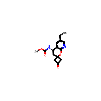 CC(C)(C)Cc1cnc2c(c1)[C@@H](NC(=O)OC(C)(C)C)CC1(CC(=O)C1)O2